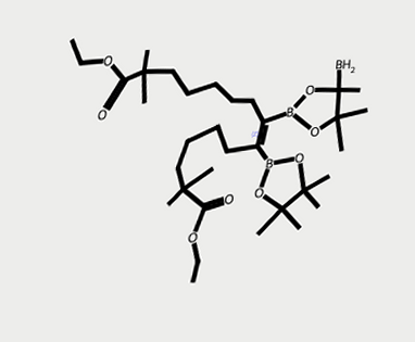 BC1(C)OB(/C(CCCCCC(C)(C)C(=O)OCC)=C(/CCCCC(C)(C)C(=O)OCC)B2OC(C)(C)C(C)(C)O2)OC1(C)C